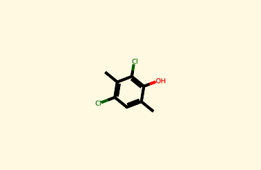 Cc1cc(Cl)c(C)c(Cl)c1O